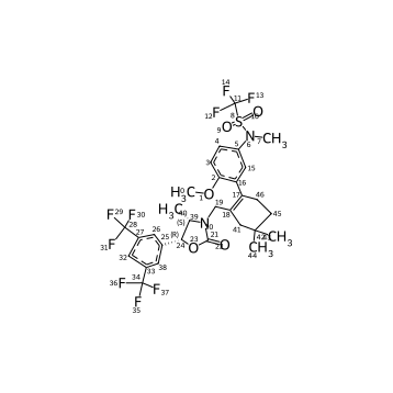 COc1ccc(N(C)S(=O)(=O)C(F)(F)F)cc1C1=C(CN2C(=O)O[C@H](c3cc(C(F)(F)F)cc(C(F)(F)F)c3)[C@@H]2C)CC(C)(C)CC1